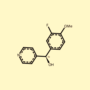 COc1ccc([C@@H](O)c2ccncc2)cc1F